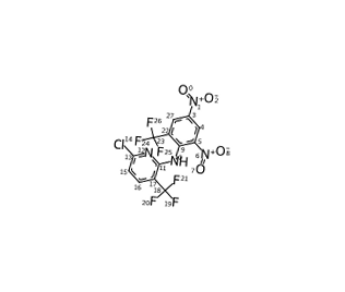 O=[N+]([O-])c1cc([N+](=O)[O-])c(Nc2nc(Cl)ccc2C(F)(F)F)c(C(F)(F)F)c1